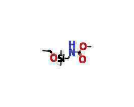 CCO[Si](C)(C)CNC(=O)OC